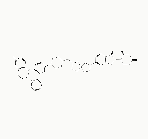 O=C1CCC(N2Cc3cc(N4CCC5(CCN(CC6CCN(c7ccc([C@@H]8c9ccc(O)cc9CC[C@@H]8c8ccccc8)cc7)CC6)C5)C4)ccc3C2=O)C(=O)N1